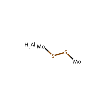 [AlH3].[Mo][S][S][Mo]